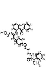 CC(C(=O)NCCCOc1ccc(CC(Nc2ccccc2C(=O)c2ccccc2)C(=O)O)cc1)c1ccccc1